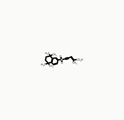 C/C(=C\C#CS(=O)(=O)c1ccc2c(c1)C(C)(C)CCC2(C)C)C(=O)O